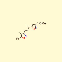 COCc1cc(C(C)CCc2noc(C(C)C)c2C)on1